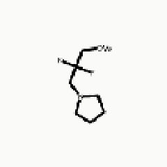 COCC(F)(F)CN1CCCC1